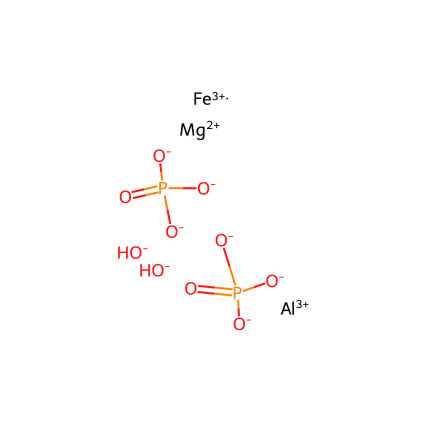 O=P([O-])([O-])[O-].O=P([O-])([O-])[O-].[Al+3].[Fe+3].[Mg+2].[OH-].[OH-]